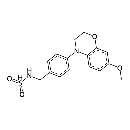 COc1ccc2c(c1)OCCN2c1ccc(CN[SH](=O)=O)cc1